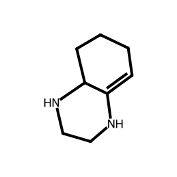 C1=C2NCCNC2CCC1